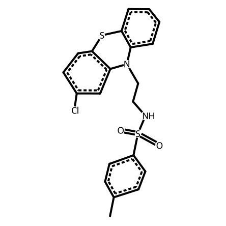 Cc1ccc(S(=O)(=O)NCCN2c3ccccc3Sc3ccc(Cl)cc32)cc1